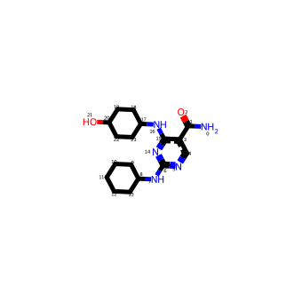 NC(=O)c1cnc(NC2CCCCC2)nc1NC1CCC(O)CC1